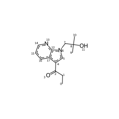 CCC(=O)c1cn(CC(C)(C)O)c2ncccc12